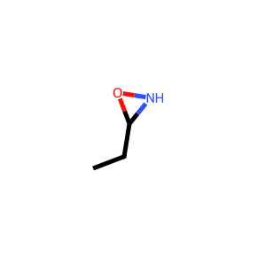 CCC1NO1